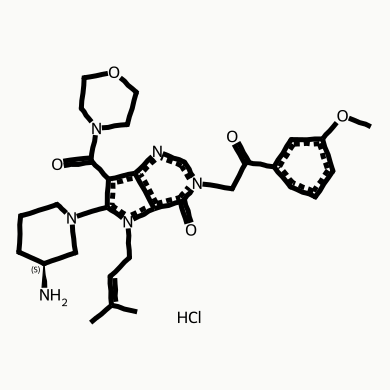 COc1cccc(C(=O)Cn2cnc3c(C(=O)N4CCOCC4)c(N4CCC[C@H](N)C4)n(CC=C(C)C)c3c2=O)c1.Cl